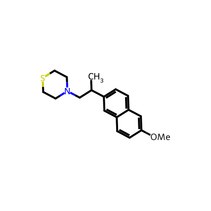 COc1ccc2cc(C(C)CN3CCSCC3)ccc2c1